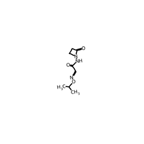 CC(C)ON=CC(=O)NN1CCC1=O